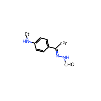 CCC/C(=N\NC=O)c1ccc(NCC)cc1